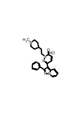 CN1CCC(CCn2nc(-c3c(-c4ccccc4)nn4ccccc34)ccc2=O)CC1.Cl